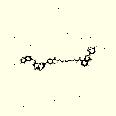 O=C1CCC(N2Cc3c(NCCOCCOCCNC(=O)c4ccc(-c5cnc6ncc(Cc7ccc8ncccc8c7)n6n5)cc4F)cccc3C2=O)C(=O)N1